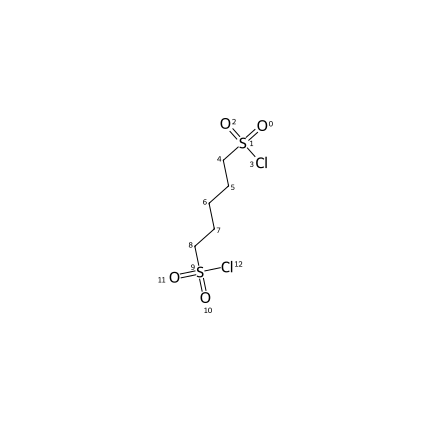 O=S(=O)(Cl)CCCCCS(=O)(=O)Cl